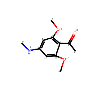 CNc1cc(OC)c(C(C)=O)c(OC)c1